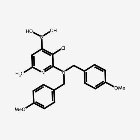 COc1ccc(CN(Cc2ccc(OC)cc2)c2nc(C)cc(B(O)O)c2Cl)cc1